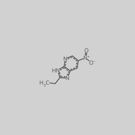 CCc1nc2cc([N+](=O)[O-])cnc2[nH]1